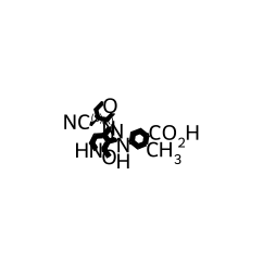 Cc1cc(Nc2nn([C@H]3COCC[C@@H]3CC#N)c3cc[nH]c(=O)c23)ccc1C(=O)O